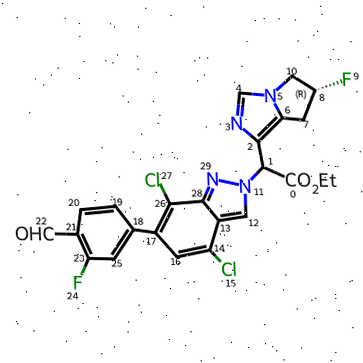 CCOC(=O)C(c1ncn2c1C[C@@H](F)C2)n1cc2c(Cl)cc(-c3ccc(C=O)c(F)c3)c(Cl)c2n1